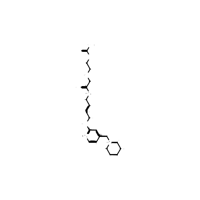 CC(C)(C)C(=O)OCCSCC(=O)NCC=CCOc1cc(CN2CCCCC2)ccn1